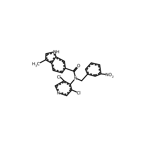 Cc1c[nH]c2cc(C(=O)N(Cc3cccc([N+](=O)[O-])c3)c3c(Cl)cncc3Cl)ccc12